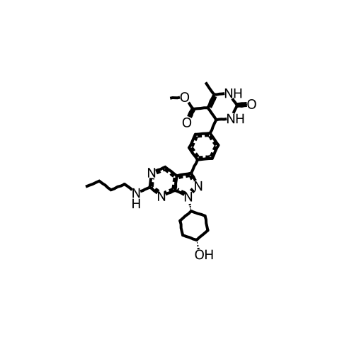 CCCCNc1ncc2c(-c3ccc(C4NC(=O)NC(C)=C4C(=O)OC)cc3)nn([C@H]3CC[C@@H](O)CC3)c2n1